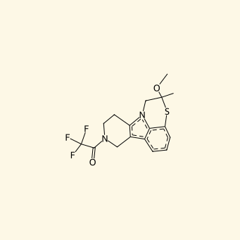 COC1(C)Cn2c3c(c4cccc(c42)S1)CN(C(=O)C(F)(F)F)CC3